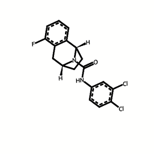 O=C(Nc1ccc(Cl)c(Cl)c1)N1[C@@H]2CC[C@H]1c1cccc(F)c1C2